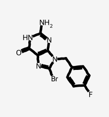 Nc1nc2c(nc(Br)n2Cc2ccc(F)cc2)c(=O)[nH]1